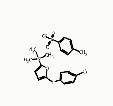 C[Si](C)(C)c1ccc([I+]c2ccc(Cl)cc2)o1.Cc1ccc(S(=O)(=O)[O-])cc1